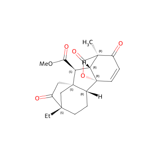 CC[C@@]12CC[C@@H]3[C@@](CC1=O)(C2)[C@@H](C(=O)OC)[C@@H]1[C@]2(C)C(=O)C=C[C@]13OC2=O